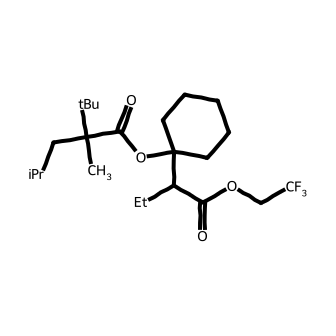 CCC(C(=O)OCC(F)(F)F)C1(OC(=O)C(C)(CC(C)C)C(C)(C)C)CCCCC1